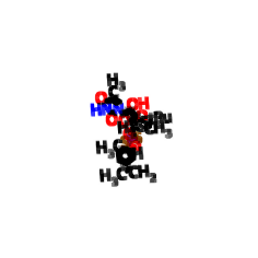 C=C(C)[C@@H]1CC[C@]2(C)SP(=S)(OC[C@H]3O[C@@H](n4cc(C)c(=O)[nH]c4=O)[C@H](O)[C@@H]3O[Si](C)(C)C(C)(C)C)O[C@H]2C1